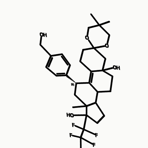 CC1(C)COC2(CCC3=C4C(CCC3(O)C2)C2CCC(O)(C(F)(F)C(F)(F)F)C2(C)C[C@@H]4c2ccc(CO)cc2)OC1